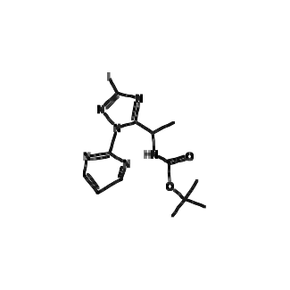 CC(NC(=O)OC(C)(C)C)c1nc(I)nn1-c1ncccn1